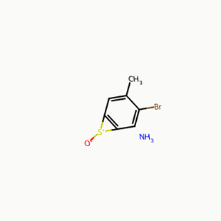 Cc1cc2c(cc1Br)[S+]2[O-].N